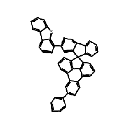 c1ccc(-c2ccc3c(c2)c2cccc4c2c2c(cccc32)C42c3ccccc3-c3ccc(-c4cccc5c4sc4ccccc45)cc32)cc1